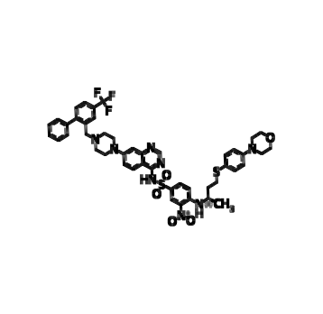 C[C@H](CCSc1ccc(N2CCOCC2)cc1)Nc1ccc(S(=O)(=O)Nc2ncnc3cc(N4CCN(Cc5cc(C(F)(F)F)ccc5-c5ccccc5)CC4)ccc23)cc1[N+](=O)[O-]